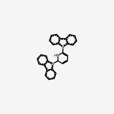 C1=CC(n2c3ccccc3c3ccccc32)NC(n2c3ccccc3c3ccccc32)=C1